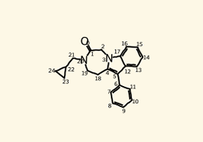 O=C1Cn2c(c(-c3ccccc3)c3ccccc32)CCN1CC1CC1